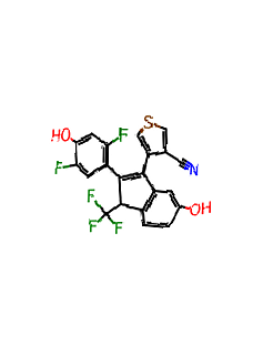 N#Cc1cscc1C1=C(c2cc(F)c(O)cc2F)C(C(F)(F)F)c2ccc(O)cc21